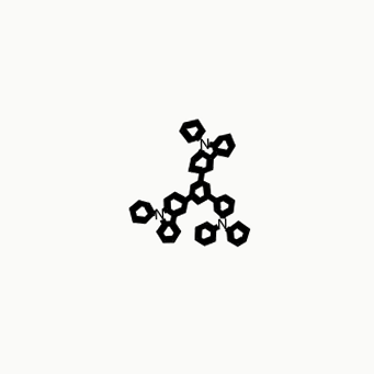 c1ccc(N(c2ccccc2)c2cccc(-c3cc(-c4ccc5c(c4)c4ccccc4n5-c4ccccc4)cc(-c4ccc5c(c4)c4ccccc4n5-c4ccccc4)c3)c2)cc1